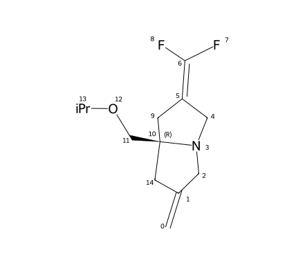 C=C1CN2CC(=C(F)F)C[C@@]2(COC(C)C)C1